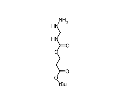 CC(C)(C)OC(=O)CCOC(=O)NCNN